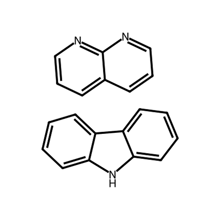 c1ccc2c(c1)[nH]c1ccccc12.c1cnc2ncccc2c1